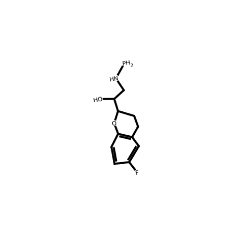 OC(CNP)C1CCc2cc(F)ccc2O1